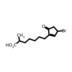 CC(CCCCCC1=CC(Br)CC1=O)C(=O)O